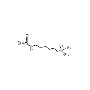 CCC(=O)NCCCCCC[Si](C)(C)C